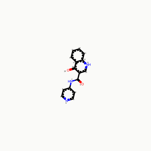 O=C(Nc1ccncc1)c1c[nH]c2ccccc2c1=O